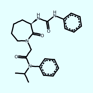 CC(C)N(C(=O)CN1CCCC[C@@H](NC(=O)Nc2ccccc2)C1=O)c1ccccc1